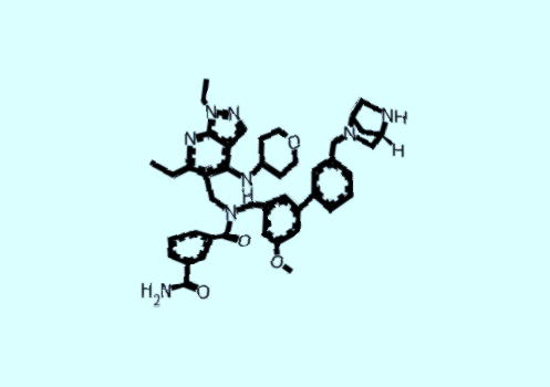 CCc1nc2c(cnn2CC)c(NC2CCOCC2)c1CN(Cc1cc(OC)cc(-c2cccc(CN3C[C@@H]4CC3CN4)c2)c1)C(=O)c1cccc(C(N)=O)c1